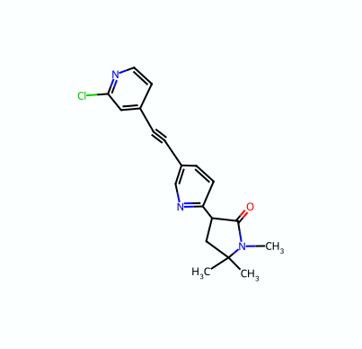 CN1C(=O)C(c2ccc(C#Cc3ccnc(Cl)c3)cn2)CC1(C)C